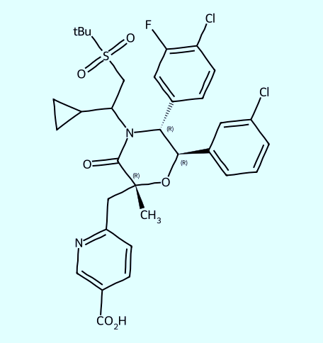 CC(C)(C)S(=O)(=O)CC(C1CC1)N1C(=O)[C@@](C)(Cc2ccc(C(=O)O)cn2)O[C@H](c2cccc(Cl)c2)[C@H]1c1ccc(Cl)c(F)c1